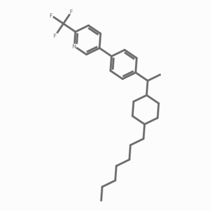 CCCCCCCC1CCC(C(C)c2ccc(-c3ccc(C(F)(F)F)nc3)cc2)CC1